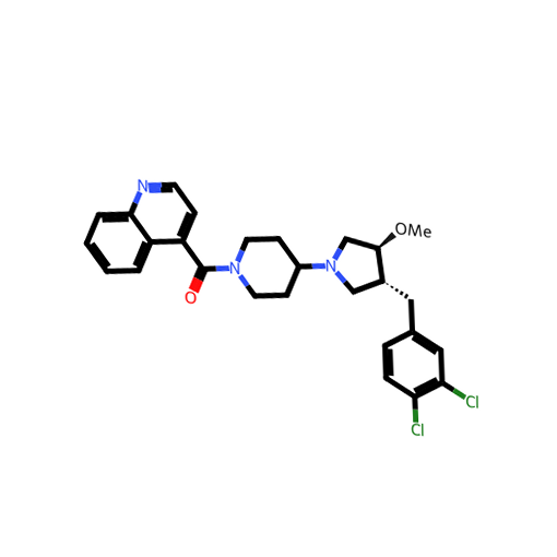 CO[C@@H]1CN(C2CCN(C(=O)c3ccnc4ccccc34)CC2)C[C@H]1Cc1ccc(Cl)c(Cl)c1